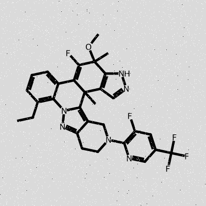 CCc1cccc2c1-n1nc3c(c1C1(C)C2=C(F)C(C)(OC)c2[nH]ncc21)CN(c1ncc(C(F)(F)F)cc1F)CC3